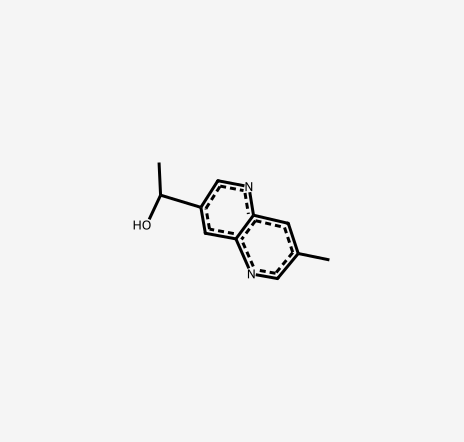 Cc1cnc2cc(C(C)O)cnc2c1